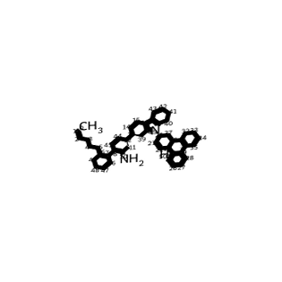 C/C=C\CCCC1=C(C2=C(N)C[C@@H]([C@H]3C=Cc4c5c(n(C6C=C[C@H]7c8ccccc8C8=C(CCC=C8)C7C6)c4C3)CCC=C5)C=C2)C=CCC1